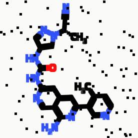 Cc1ccncc1-c1cc2cc(NC(=O)Nc3cnn([C@@H](C)C#N)c3)ncc2c(N)n1